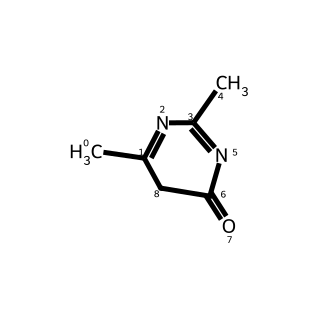 CC1=NC(C)=NC(=O)C1